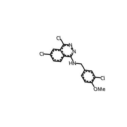 COc1ccc(CNc2nnc(Cl)c3cc(Cl)ccc23)cc1Cl